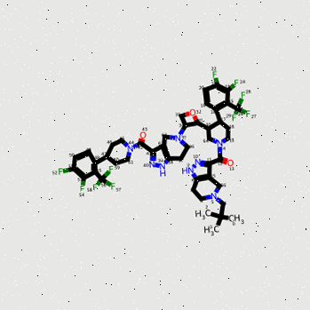 CC(C)(C)CN1CCc2[nH]nc(C(=O)N3CCC(c4ccc(F)c(F)c4C(F)(F)F)C(C4OCC4N4CCc5[nH]nc(C(=O)N6CCC(c7ccc(F)c(F)c7C(F)(F)F)CC6)c5C4)C3)c2C1